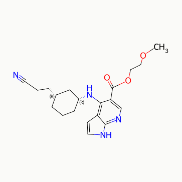 COCCOC(=O)c1cnc2[nH]ccc2c1N[C@@H]1CCC[C@H](CCC#N)C1